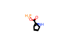 O=C(OP)C1NC2C=CC1C2